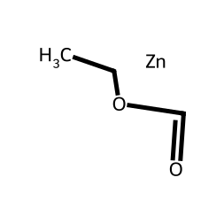 CCOC=O.[Zn]